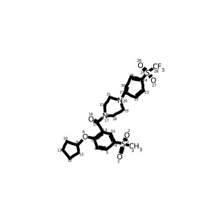 CS(=O)(=O)c1ccc(OC2CCCC2)c(C(=O)N2CCN(c3ccc(S(=O)(=O)C(F)(F)F)cc3)CC2)c1